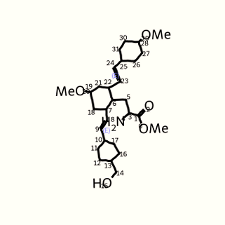 COC(=O)C(N)CC1C(/C=C/C2CCC(CO)CC2)CC(OC)CC1/C=C/C1CCC(OC)CC1